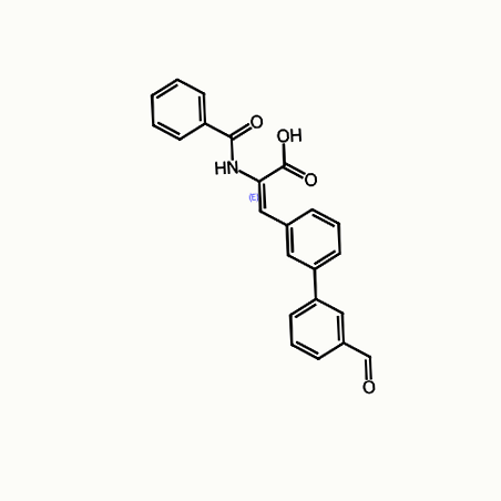 O=Cc1cccc(-c2cccc(/C=C(/NC(=O)c3ccccc3)C(=O)O)c2)c1